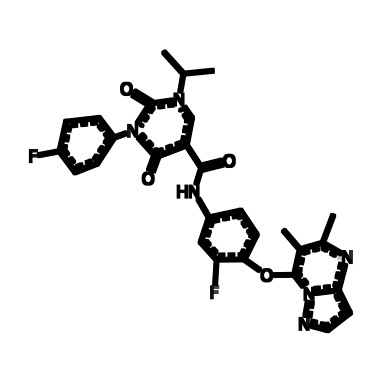 Cc1nc2ccnn2c(Oc2ccc(NC(=O)c3cn(C(C)C)c(=O)n(-c4ccc(F)cc4)c3=O)cc2F)c1C